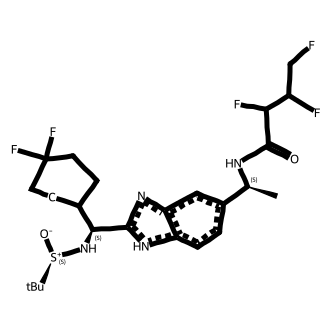 C[C@H](NC(=O)C(F)C(F)CF)c1ccc2[nH]c([C@@H](N[S@+]([O-])C(C)(C)C)C3CCC(F)(F)CC3)nc2c1